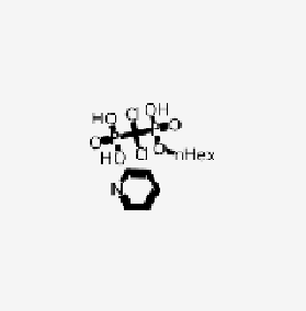 CCCCCCOP(=O)(O)C(Cl)(Cl)P(=O)(O)O.c1ccncc1